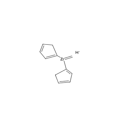 [CH2]=[Zr]([C]1=CC=CC1)[C]1=CC=CC1.[H-]